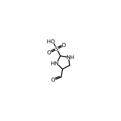 O=CC1CNC(S(=O)(=O)O)N1